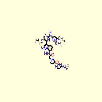 CCN(CC)c1ccnc(O[C@H]2CCN(CC(=O)Nc3cccc4c(-c5nc(Nc6cc(C)n(C)n6)ncc5C)c[nH]c34)C2)n1